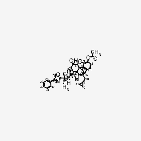 CC(=O)Oc1ccc2c3c1O[C@H]1C(=O)CC[C@@]4(CC(=O)NC(C)(C)c5nc(-c6ccccc6)no5)[C@@H](C2)N(CC2CC2)CC[C@]314